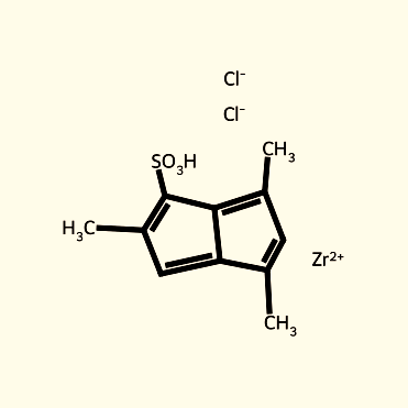 CC1=CC(C)=C2C1=CC(C)=C2S(=O)(=O)O.[Cl-].[Cl-].[Zr+2]